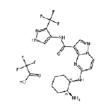 N[C@H]1CCCC[C@H]1Nc1ccn2ncc(C(=O)Nc3c[nH]nc3C(F)(F)F)c2n1.O=C(O)C(F)(F)F